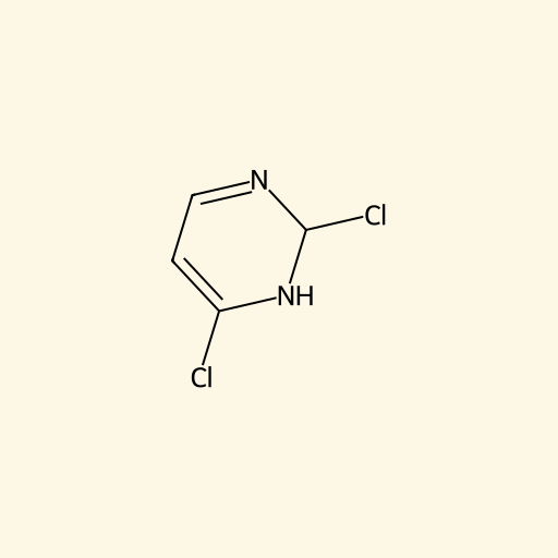 ClC1=CC=NC(Cl)N1